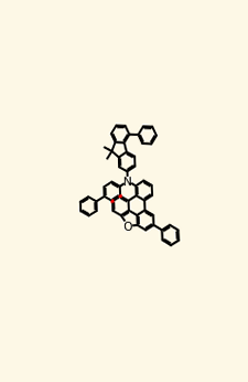 CC1(C)c2cc(N(c3ccc(-c4ccccc4)cc3)c3cccc4c5cc(-c6ccccc6)cc6oc7cccc(c34)c7c65)ccc2-c2c(-c3ccccc3)cccc21